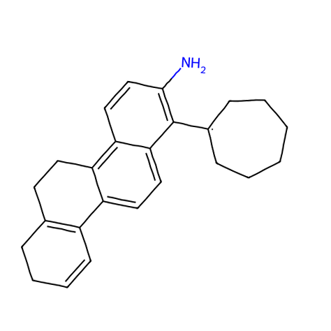 Nc1ccc2c3c(ccc2c1[C]1CCCCCC1)C1=C(CCC=C1)CC3